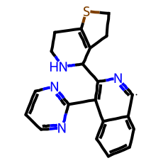 [c]1nc(C2NCCC3=C2CCS3)c(-c2ncccn2)c2ccccc12